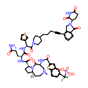 CN1CC[C@H]2CC[C@@H](C(=O)N[C@@H](CCC(N)=O)C(=O)N[C@H](C(=O)N3CCC(CCCC#Cc4cccc5c4CN(C4CCC(=O)NC4=O)C5=O)CC3)c3ccsc3)N2C(=O)[C@@H](NC(=O)c2cc3cc(C(F)(F)P(=O)(O)O)ccc3s2)C1